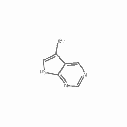 CCC(C)c1c[nH]c2ncncc12